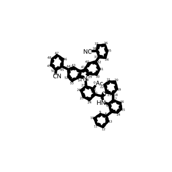 CC(=O)c1c(C(=O)Nc2c(-c3ccccc3)cccc2-c2ccccc2)cccc1-n1c2ccc(-c3ccccc3C#N)cc2c2cc(-c3ccccc3C#N)ccc21